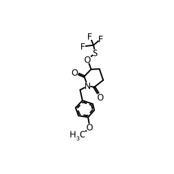 COc1ccc(CN2C(=O)CCC(OSC(F)(F)F)C2=O)cc1